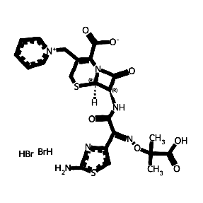 Br.Br.CC(C)(ON=C(C(=O)N[C@@H]1C(=O)N2C(C(=O)[O-])=C(C[n+]3ccccc3)CS[C@H]12)c1csc(N)n1)C(=O)O